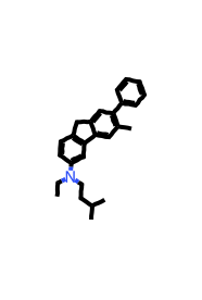 CCN(CCC(C)C)c1ccc2c(c1)-c1cc(C)c(-c3ccccc3)cc1C2